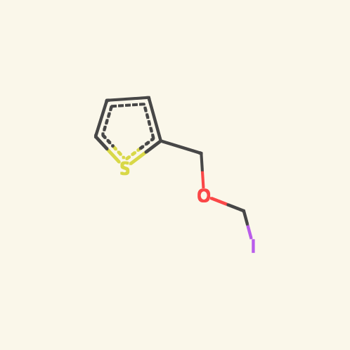 ICOCc1cccs1